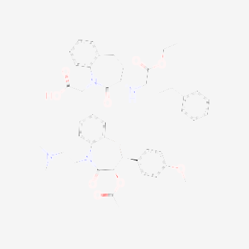 CCOC(=O)[C@H](CCc1ccccc1)N[C@H]1CCc2ccccc2N(CC(=O)O)C1=O.COc1ccc([C@@H]2Sc3ccccc3N(CCN(C)C)C(=O)[C@@H]2OC(C)=O)cc1